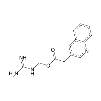 N=C(N)NCOC(=O)Cc1cnc2ccccc2c1